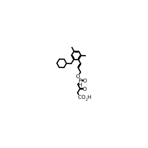 Cc1cc(C)c(C=CCO[PH](=O)CC(=O)CC(=O)O)c(CC2CCCCC2)c1